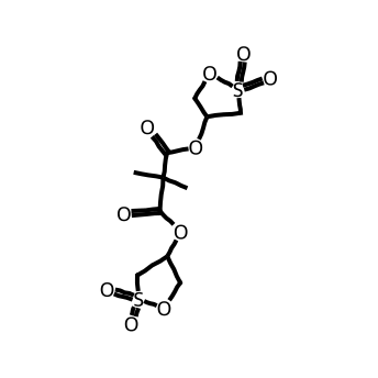 CC(C)(C(=O)OC1COS(=O)(=O)C1)C(=O)OC1COS(=O)(=O)C1